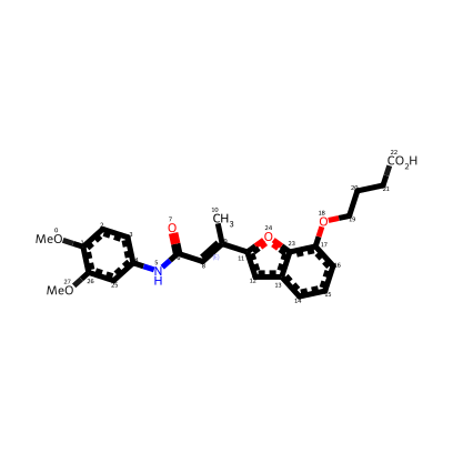 COc1ccc(NC(=O)/C=C(\C)c2cc3cccc(OCCCC(=O)O)c3o2)cc1OC